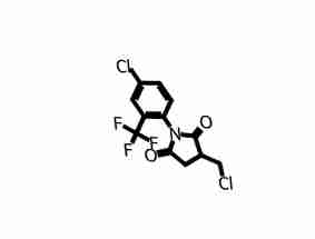 O=C1CC(CCl)C(=O)N1c1ccc(Cl)cc1C(F)(F)F